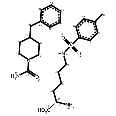 Cc1ccc(S(=O)(=O)NCCCC[C@H](N)C(=O)O)cc1.NC(=O)N1CCC(Cc2ccccc2)CC1